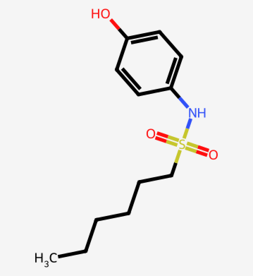 CCCCCCS(=O)(=O)Nc1ccc(O)cc1